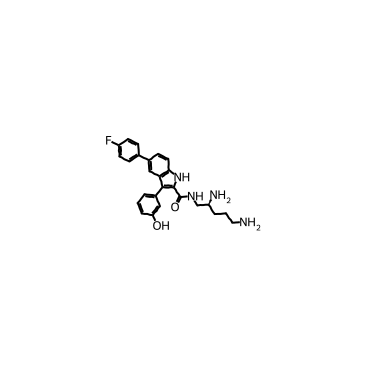 NCCC[C@H](N)CNC(=O)c1[nH]c2ccc(-c3ccc(F)cc3)cc2c1-c1cccc(O)c1